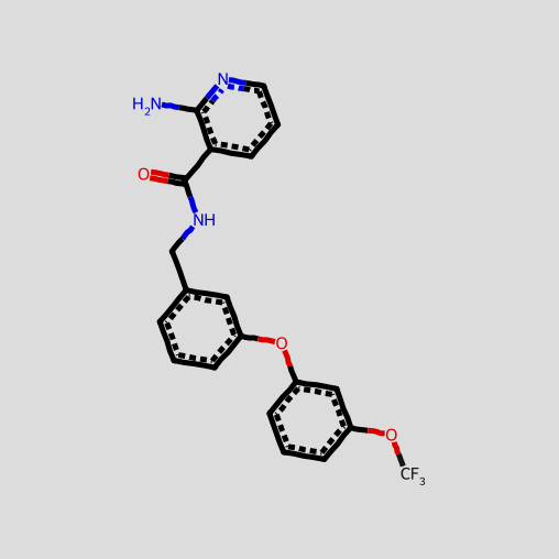 Nc1ncccc1C(=O)NCc1cccc(Oc2cccc(OC(F)(F)F)c2)c1